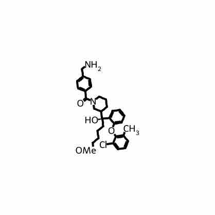 COCCCC[C@@](O)(c1ccccc1Oc1c(C)cccc1Cl)C1CCCN(C(=O)c2ccc(CN)cc2)C1